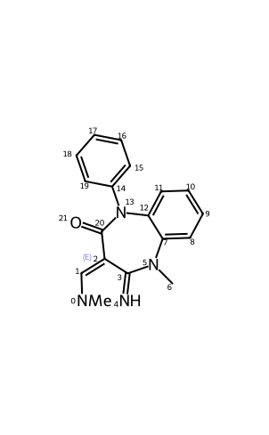 CN/C=C1\C(=N)N(C)c2ccccc2N(c2ccccc2)C1=O